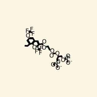 CCc1cc(OC(F)(F)F)cc2c1O[C@H](C(F)(F)F)C(C(=O)OCCOC(=O)OC(CO[N+](=O)[O-])CO[N+](=O)[O-])=C2